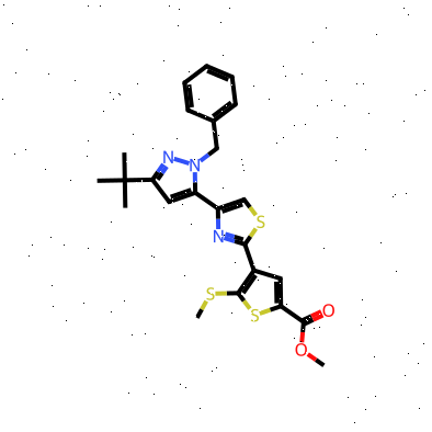 COC(=O)c1cc(-c2nc(-c3cc(C(C)(C)C)nn3Cc3ccccc3)cs2)c(SC)s1